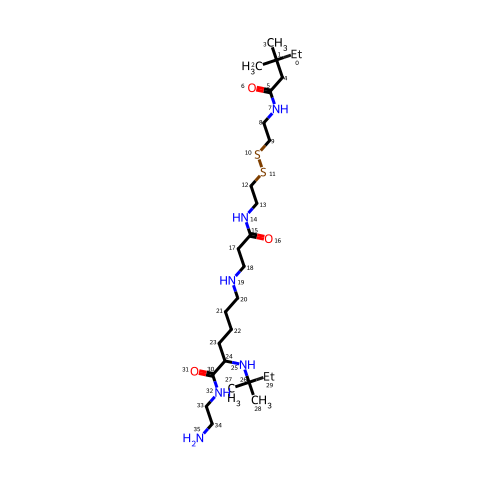 CCC(C)(C)CC(=O)NCCSSCCNC(=O)CCNCCCCC(NC(C)(C)CC)C(=O)NCCN